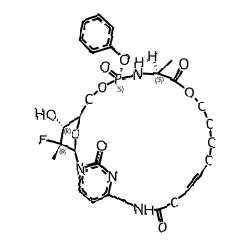 C[C@@H]1N[P@@](=O)(Oc2ccccc2)OCC2OC(n3ccc(nc3=O)NC(=O)CC=CCCCCOC1=O)[C@](C)(F)[C@@H]2O